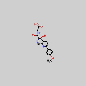 COc1ccc(-c2ccc3c(O)c(C(=O)NCC(=O)O)ncc3n2)cc1